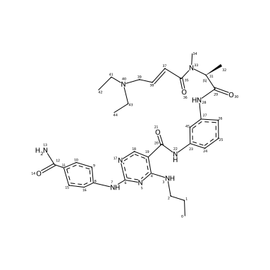 CCCNc1nc(Nc2ccc(C(N)=O)cc2)ncc1C(=O)Nc1cccc(NC(=O)[C@H](C)N(C)C(=O)C=CCN(CC)CC)c1